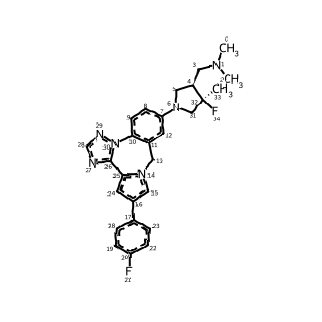 CN(C)C[C@@H]1CN(c2ccc3c(c2)Cn2cc(-c4ccc(F)cc4)cc2-c2ncnn2-3)C[C@]1(C)F